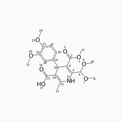 COC(=O)C1=C(C(OC)OC)NC(C)=C(C(=O)O)C1c1ccc(OC)c(OC)c1